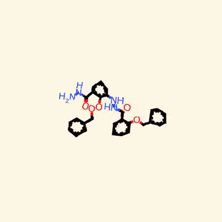 NNC(=O)c1cccc(NNC(=O)c2ccccc2OCc2ccccc2)c1OOCc1ccccc1